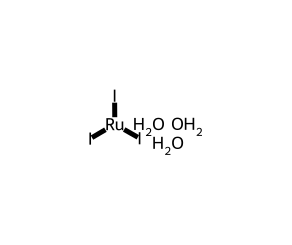 O.O.O.[I][Ru]([I])[I]